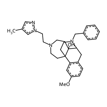 COc1ccc2c(c1)C13CCN(CCn4cc(C)cn4)CCC1(O)C(C2)N(Cc1ccccc1)CC3